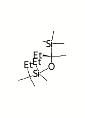 CCC(C)(C)[Si](C)(CC)O[C@](C)(CC)[Si](C)(C)C